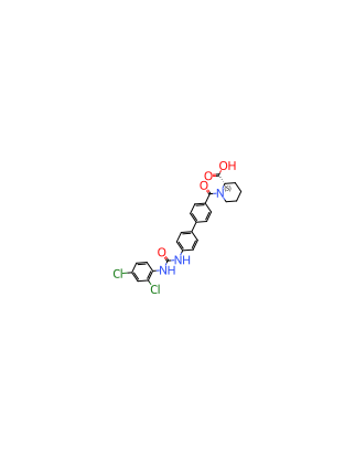 O=C(Nc1ccc(-c2ccc(C(=O)N3CCCC[C@H]3C(=O)O)cc2)cc1)Nc1ccc(Cl)cc1Cl